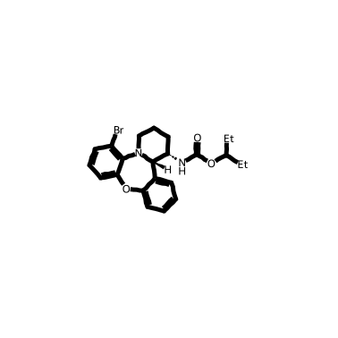 CCC(CC)OC(=O)N[C@H]1CCCN2c3c(Br)cccc3Oc3ccccc3[C@@H]12